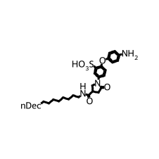 CCCCCCCCCCCCCCCCCCNC(=O)C1CC(=O)N(c2ccc(Oc3ccc(N)cc3)c(S(=O)(=O)O)c2)C1